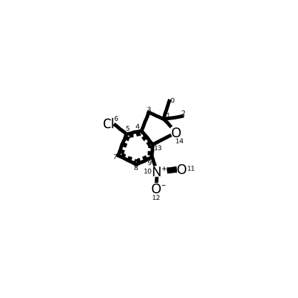 CC1(C)Cc2c(Cl)ccc([N+](=O)[O-])c2O1